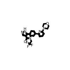 O=c1c2cn[nH]c2c2ccc(-c3cccc(N4CCOCC4)n3)cc2n1CC(F)(F)F